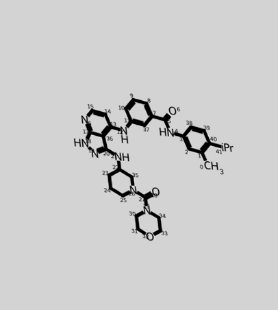 Cc1cc(NC(=O)c2cccc(Nc3ccnc4[nH]nc(NC5CCCN(C(=O)N6CCOCC6)C5)c34)c2)ccc1C(C)C